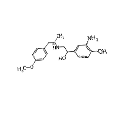 COc1ccc(C[C@@H](C)NCC(O)c2ccc(O)c(N)c2)cc1